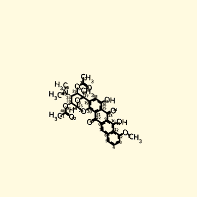 COc1cccc2cc3c(c(O)c12)C(=O)c1c(O)cc2c(c1C3=O)O[C@@H]1O[C@@]2(C)[C@H](OC(C)=O)[C@@H](N(C)C)[C@@H]1OC(C)=O